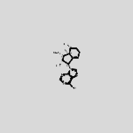 CO[C@H]1[C@@H](O)[C@H](n2cnc3c(N)ncnc32)C2=CCC[C@@H](O)[C@@H]21